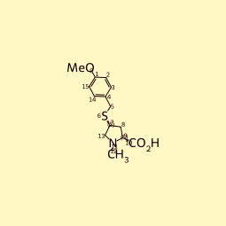 COc1ccc(CS[C@H]2C[C@@H](C(=O)O)N(C)C2)cc1